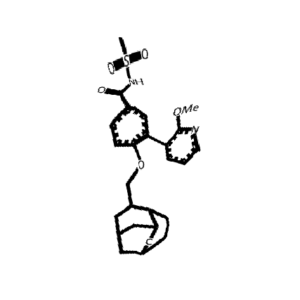 COc1ncccc1-c1cc(C(=O)NS(C)(=O)=O)ccc1OCC1CC2CC3CCC1C(C3)C2